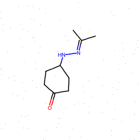 CC(C)=NNC1CCC(=O)CC1